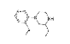 CCC1CN(c2ccccc2SC)CCN1